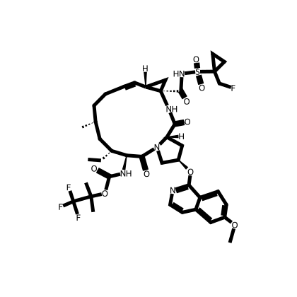 CC[C@@H]1C[C@H](C)CC/C=C\[C@@H]2C[C@@]2(C(=O)NS(=O)(=O)C2(CF)CC2)NC(=O)[C@@H]2C[C@@H](Oc3nccc4cc(OC)ccc34)CN2C(=O)[C@H]1NC(=O)OC(C)(C)C(F)(F)F